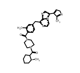 Cc1cc(Cc2nccn3c(C4=CCN=C4C(F)(F)F)cnc23)ccc1C(=O)N1CCN(C(=O)C2CCCC[C@@H]2C)CC1